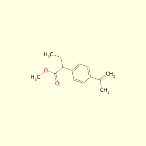 C=C(C)c1ccc(C(CC)C(=O)OC)cc1